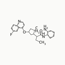 CCC(C(=O)Nc1ccccc1N)C1CC(Oc2ccnc3ccc(F)cc23)CC1C